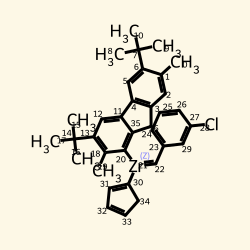 Cc1cc2c(cc1C(C)(C)C)-c1cc(C(C)(C)C)c(C)[c](/[Zr](=[CH]\c3cccc(Cl)c3)[C]3=CC=CC3)c1C2